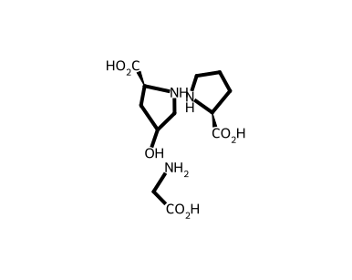 NCC(=O)O.O=C(O)[C@@H]1CC(O)CN1.O=C(O)[C@@H]1CCCN1